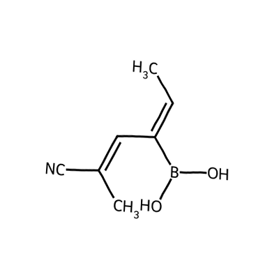 C/C=C(\C=C(/C)C#N)B(O)O